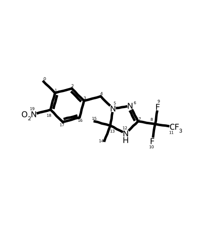 Cc1cc(CN2N=C(C(F)(F)C(F)(F)F)NC2(C)C)ccc1[N+](=O)[O-]